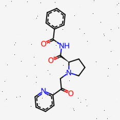 O=C(NC(=O)[C@H]1CCCN1CC(=O)c1ccccn1)c1ccccc1